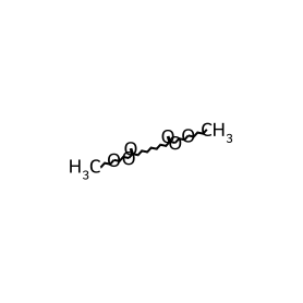 CCCCOCCOC(=O)CCCCCCCC(=O)OCCOCCCC